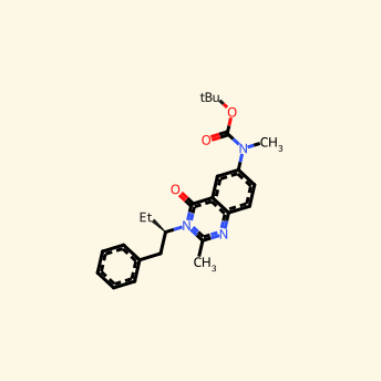 CC[C@H](Cc1ccccc1)n1c(C)nc2ccc(N(C)C(=O)OC(C)(C)C)cc2c1=O